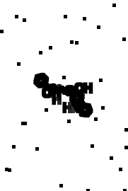 Oc1cc2c(cc1OCCNCC(O)c1ccccc1)[nH]c1ccccc12